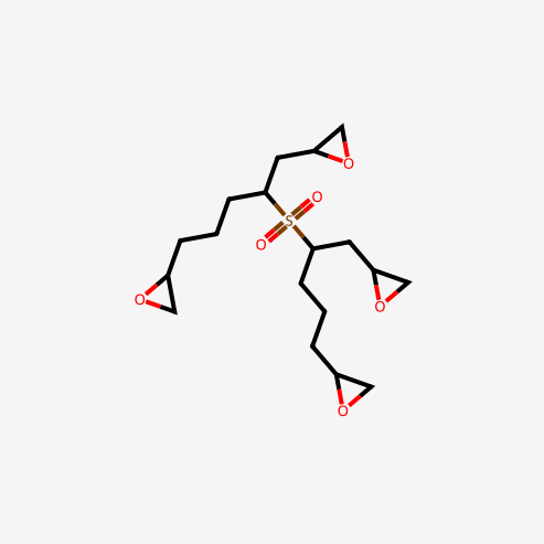 O=S(=O)(C(CCCC1CO1)CC1CO1)C(CCCC1CO1)CC1CO1